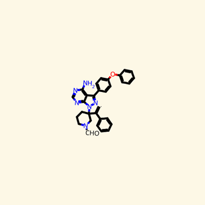 [CH]=C(c1ccccc1)C1(n2nc(-c3ccc(Oc4ccccc4)cc3)c3c(N)ncnc32)CCCN(C=O)C1